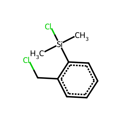 C[Si](C)(Cl)c1ccccc1CCl